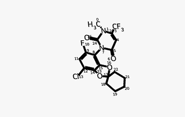 Cn1c(C(F)(F)F)cc(=O)n(-c2c(F)cc(Cl)c3c2OC2(CCCCC2)O3)c1=O